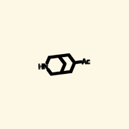 CC(=O)C1CC2CNCC(C2)C1